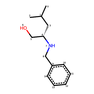 CC(C)C[C@@H](CO)NCc1ccccc1